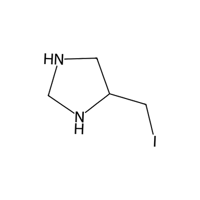 ICC1CNCN1